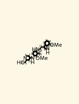 COc1c(Nc2ccnc(CO)c2)ccc(NCCc2c[nH]c3c(OC)cccc23)c1F